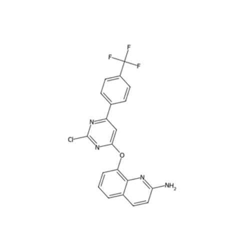 Nc1ccc2cccc(Oc3cc(-c4ccc(C(F)(F)F)cc4)nc(Cl)n3)c2n1